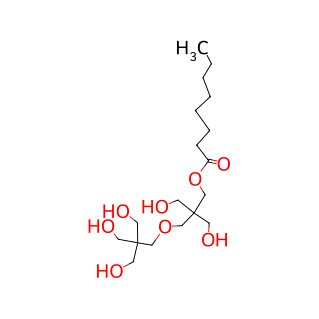 CCCCCCCC(=O)OCC(CO)(CO)COCC(CO)(CO)CO